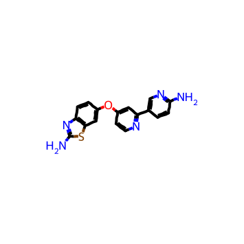 Nc1ccc(-c2cc(Oc3ccc4nc(N)sc4c3)ccn2)cn1